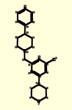 Clc1cc(N2CCOCC2)nc(CN2CCC(c3ccncc3)CC2)n1